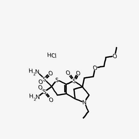 CCN1CC2(CCOCCOC)CC1C1=C(SC(S(N)(=O)=O)(S(N)(=O)=O)C1)S2(=O)=O.Cl